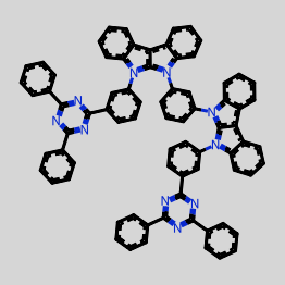 c1ccc(-c2nc(-c3ccccc3)nc(-c3cccc(-n4c5ccccc5c5c6ccccc6n(-c6cccc(-n7c8ccccc8c8c9ccccc9n(-c9cccc(-c%10nc(-c%11ccccc%11)nc(-c%11ccccc%11)n%10)c9)c87)c6)c54)c3)n2)cc1